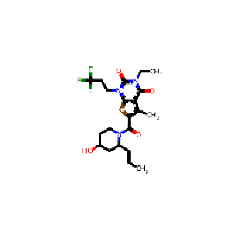 CCCC1CC(O)CCN1C(=O)c1sc2c(c1C)c(=O)n(CC)c(=O)n2CCC(F)(F)F